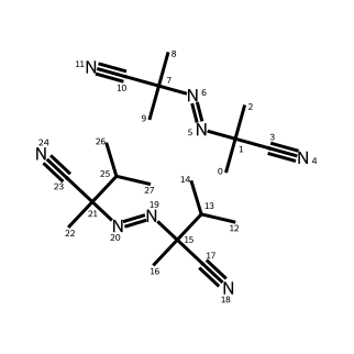 CC(C)(C#N)N=NC(C)(C)C#N.CC(C)C(C)(C#N)N=NC(C)(C#N)C(C)C